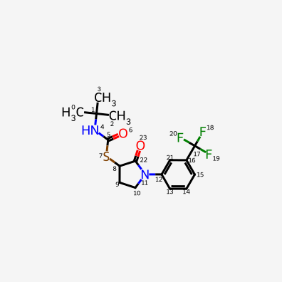 CC(C)(C)NC(=O)SC1CCN(c2cccc(C(F)(F)F)c2)C1=O